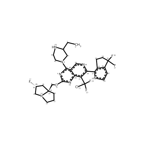 CCC1CN(c2nc(OC[C@@]34CCCN3C[C@H](F)C4)nc3c(C(F)(F)Cl)c(-c4nccc5c4CCC5(F)F)ncc23)CCN1